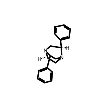 c1ccc([C@@H]2CN3CCN2C[C@H]3c2ccccc2)cc1